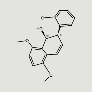 COc1ccc(OC)c2c1C=C[C@H](c1ccccc1Cl)[C@@H]2O